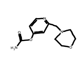 NC(=O)Oc1ccnc(CN2CCOCC2)c1